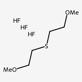 COCCSCCOC.F.F.F